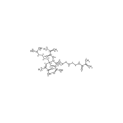 C=C(C)C(=O)OCCOCCOCC(OC(=O)C(=C)C)C(C=C(C)C(=O)O)(C=C(C)C(=O)O)CCCCC(O)O